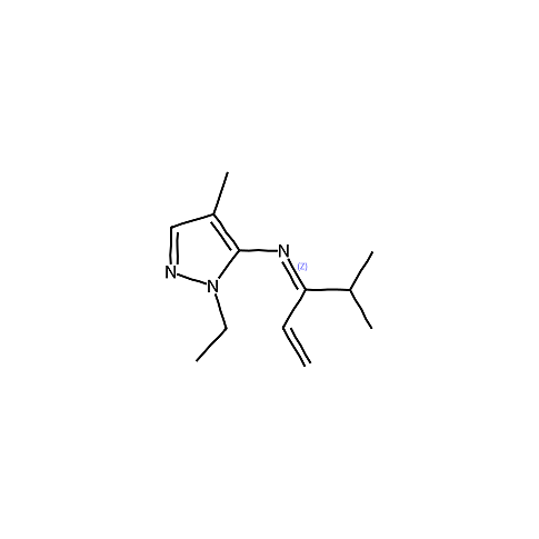 C=C/C(=N\c1c(C)cnn1CC)C(C)C